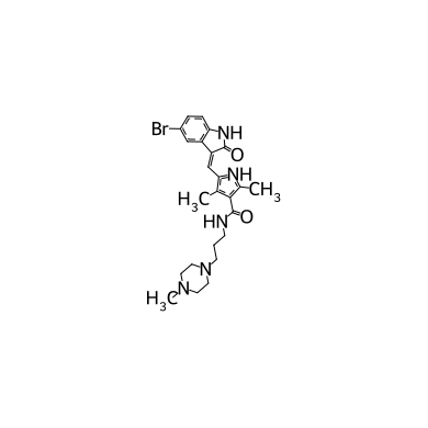 Cc1[nH]c(/C=C2\C(=O)Nc3ccc(Br)cc32)c(C)c1C(=O)NCCCN1CCN(C)CC1